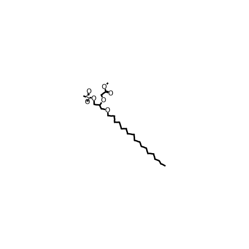 CCCCCCCCCCCCCCCCCCOCC(COS(C)(=O)=O)OCC(=O)OC